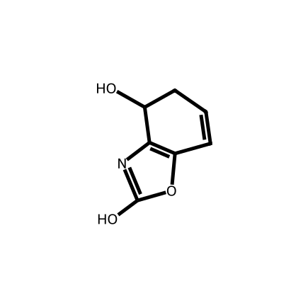 Oc1nc2c(o1)C=CCC2O